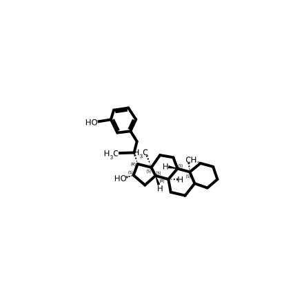 CC(Cc1cccc(O)c1)[C@H]1[C@@H](O)C[C@H]2[C@@H]3CCC4CCCC[C@]4(C)[C@H]3CC[C@@]21C